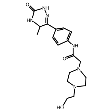 CC1NC(=O)NN=C1c1ccc(NC(=O)CN2CCN(CCO)CC2)cc1